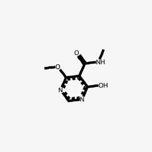 CNC(=O)c1c(O)ncnc1OC